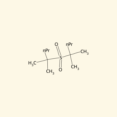 CCCC(C)(C)S(=O)(=O)C(C)(C)CCC